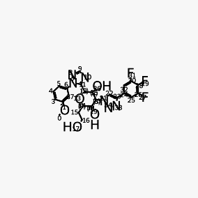 COc1cccc(-n2ncnc2[C@@H]2O[C@H](CCO)[C@H](O)[C@H](n3cc(-c4cc(F)c(F)c(F)c4)nn3)[C@H]2O)c1